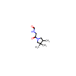 CC1CN(C(=O)CNC=O)CC1(C)C